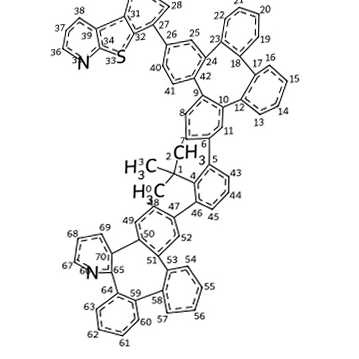 CC(C)(C)c1c(-c2ccc3c(c2)-c2ccccc2-c2ccccc2-c2cc(-c4cccc5c4sc4ncccc45)ccc2-3)cccc1-c1ccc2c(c1)-c1ccccc1-c1ccccc1-c1ncccc1-2